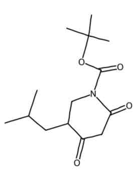 CC(C)CC1CN(C(=O)OC(C)(C)C)C(=O)CC1=O